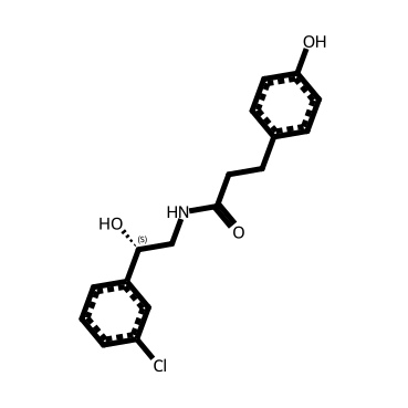 O=C(CCc1ccc(O)cc1)NC[C@@H](O)c1cccc(Cl)c1